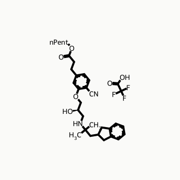 CCCCCOC(=O)CCc1ccc(C#N)c(OC[C@H](O)CNC(C)(C)CC2Cc3ccccc3C2)c1.O=C(O)C(F)(F)F